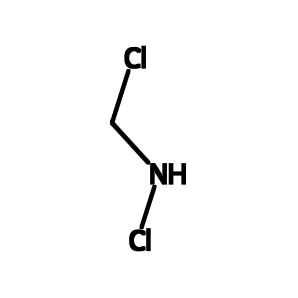 ClCNCl